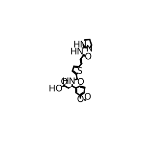 O=C(O)C[C@@H](NC(=O)c1ccc(/C=C/C(=O)NC2=NCCCN2)s1)c1ccc2c(c1)OCO2